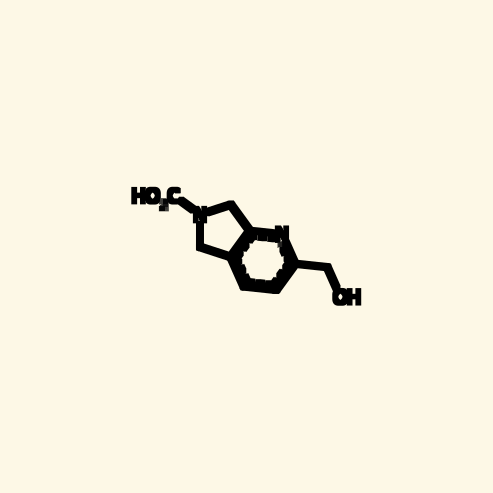 O=C(O)N1Cc2ccc(CO)nc2C1